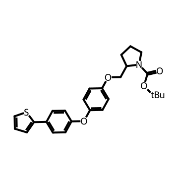 CC(C)(C)OC(=O)N1CCCC1COc1ccc(Oc2ccc(-c3cccs3)cc2)cc1